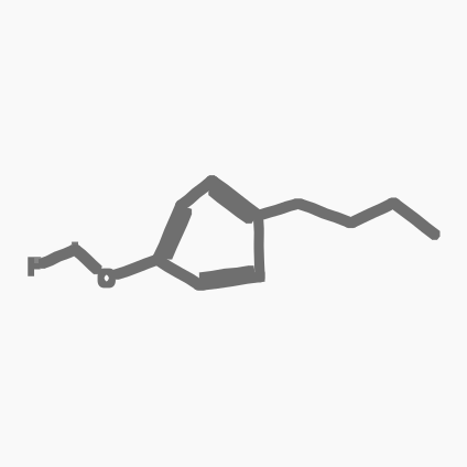 CCCCc1ccc(O[CH]F)cc1